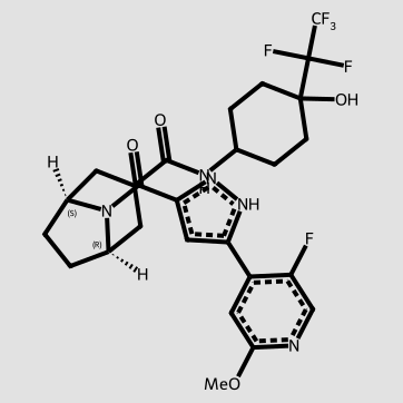 COc1cc(-c2cc(C(=O)N3[C@@H]4CC[C@H]3CC(C(=O)NC3CCC(O)(C(F)(F)C(F)(F)F)CC3)C4)n[nH]2)c(F)cn1